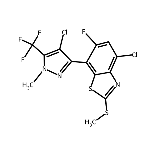 CSc1nc2c(Cl)cc(F)c(-c3nn(C)c(C(F)(F)F)c3Cl)c2s1